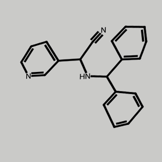 N#CC(NC(c1ccccc1)c1ccccc1)c1cccnc1